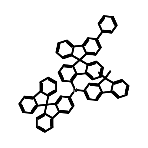 CC1(C)c2ccccc2-c2ccc(N(c3ccc4c(c3)C3(c5ccccc5-c5ccccc53)c3ccccc3-4)c3cccc4c3-c3ccccc3C43c4ccccc4-c4cc(-c5ccccc5)ccc43)cc21